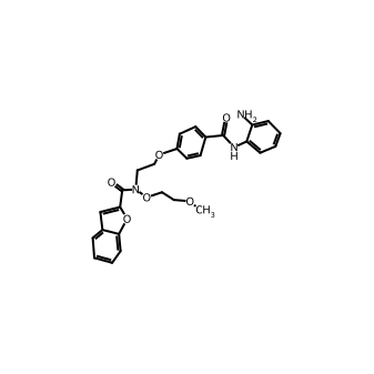 COCCON(CCOc1ccc(C(=O)Nc2ccccc2N)cc1)C(=O)c1cc2ccccc2o1